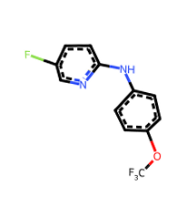 Fc1ccc(Nc2ccc(OC(F)(F)F)cc2)nc1